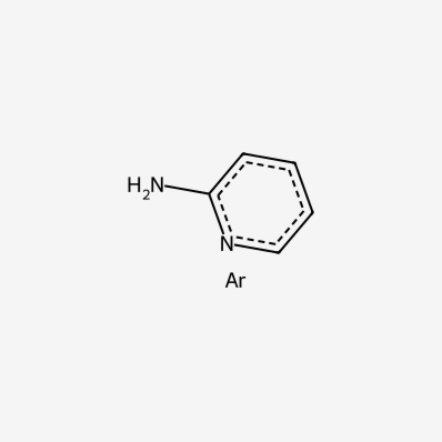 Nc1ccccn1.[Ar]